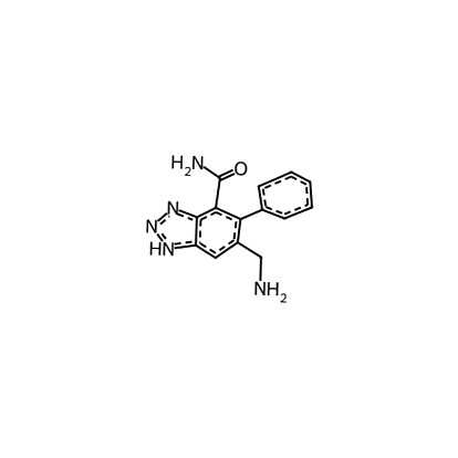 NCc1cc2[nH]nnc2c(C(N)=O)c1-c1ccccc1